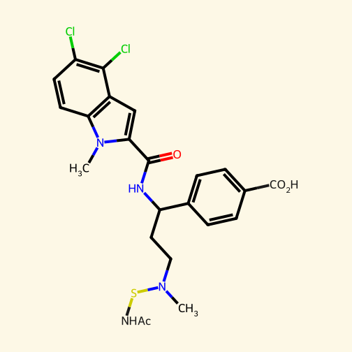 CC(=O)NSN(C)CCC(NC(=O)c1cc2c(Cl)c(Cl)ccc2n1C)c1ccc(C(=O)O)cc1